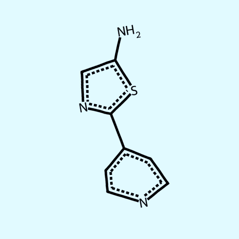 Nc1cnc(-c2ccncc2)s1